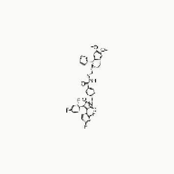 COc1cc2c(cc1OC)C(c1ccccc1)N(CCSNC(=O)c1ccc(CN3C(=O)C(c4ccc(F)cc4F)=C(c4ccc(F)cc4F)C3=O)cc1)CC2